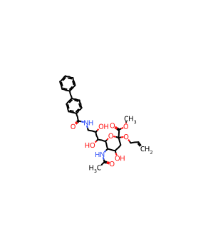 C=CCOC1(C(=O)OC)CC(O)C(NC(C)=O)C(C(O)C(O)CNC(=O)c2ccc(-c3ccccc3)cc2)O1